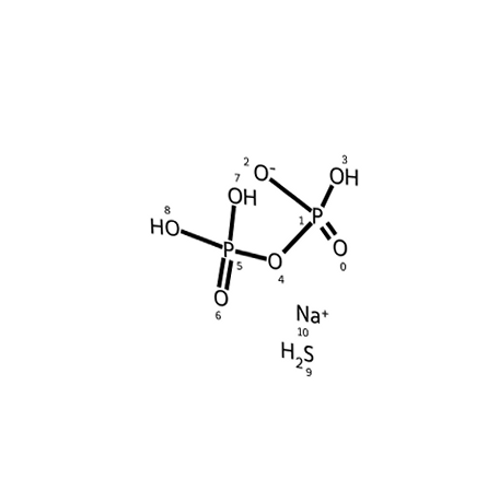 O=P([O-])(O)OP(=O)(O)O.S.[Na+]